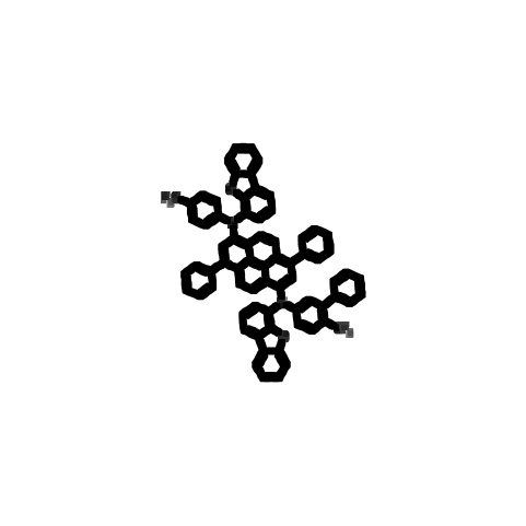 FC(F)(F)c1ccc(N(c2cc(-c3ccccc3)c3ccc4c(N(c5ccc(C(F)(F)F)c(-c6ccccc6)c5)c5cccc6c5oc5ccccc56)cc(-c5ccccc5)c5ccc2c3c54)c2cccc3c2oc2ccccc23)cc1